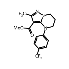 COC(=O)c1c(C(F)(F)F)nn2c1N(c1ccc(C(F)(F)F)cc1)CCC2